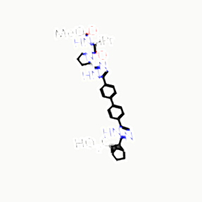 COC(=O)N[C@H](C(=O)N1CCC[C@H]1c1ncc(-c2ccc(-c3ccc(-c4cnc(C5C6CCC(C6)[C@@H]5C(=O)O)[nH]4)cc3)cc2)[nH]1)C(C)C